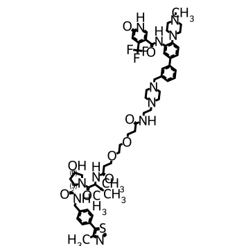 Cc1ncsc1-c1ccc(CNC(=O)[C@@H]2C[C@@H](O)CN2C(=O)C(NC(=O)CCOCCOCCC(=O)NCCN2CCN(Cc3cccc(-c4ccc(N5CCN(C)CC5)c(NC(=O)c5c[nH]c(=O)cc5C(F)(F)F)c4)c3)CC2)C(C)(C)C)cc1